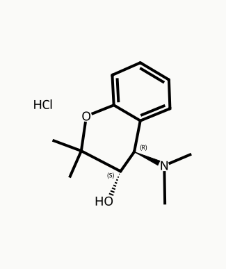 CN(C)[C@@H]1c2ccccc2OC(C)(C)[C@H]1O.Cl